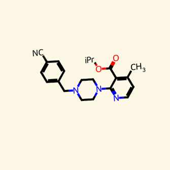 Cc1ccnc(N2CCN(Cc3ccc(C#N)cc3)CC2)c1C(=O)OC(C)C